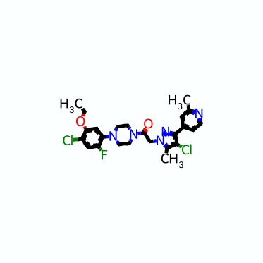 CCOc1cc(N2CCN(C(=O)Cn3nc(-c4ccnc(C)c4)c(Cl)c3C)CC2)c(F)cc1Cl